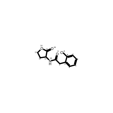 O=C(Cc1ccccc1Cl)NC1CCOC1=O